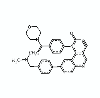 CN(C)Cc1ccc(-c2ccc3ncc4c#cc(=O)n(-c5ccc(C(=O)N6CCOCC6)cc5)c4c3c2)cc1